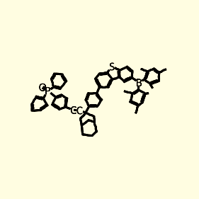 Cc1cc(C)c(B(c2ccc3sc4ccc(-c5ccc(C6(CCc7ccc(P(=O)(c8ccccc8)c8ccccc8)cc7)CC7CCCC(C7)C6)cc5)cc4c3c2)c2c(C)cc(C)cc2C)c(C)c1